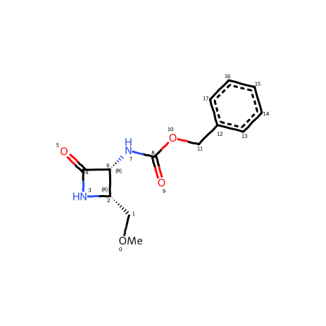 COC[C@@H]1NC(=O)[C@@H]1NC(=O)OCc1ccccc1